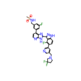 CS(=O)(=O)NCc1cc(F)cc(-c2ccnc3[nH]c(-c4n[nH]c5ccc(-c6cncc(CN7CCC(F)(F)C7)c6)c(F)c45)nc23)c1